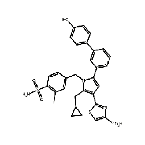 NS(=O)(=O)c1ccc(Cn2c(-c3cccc(-c4ccc(O)cc4)c3)cc(-c3nc(C(=O)O)cs3)c2CC2CC2)cc1F